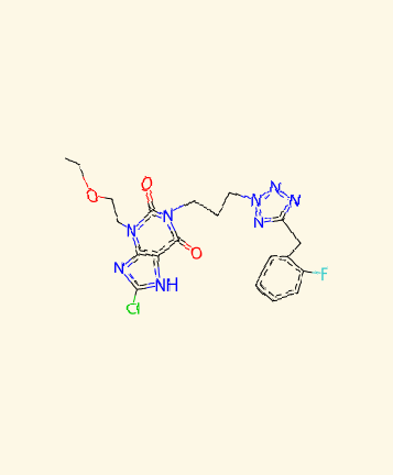 CCOCCn1c(=O)n(CCCn2nnc(Cc3ccccc3F)n2)c(=O)c2[nH]c(Cl)nc21